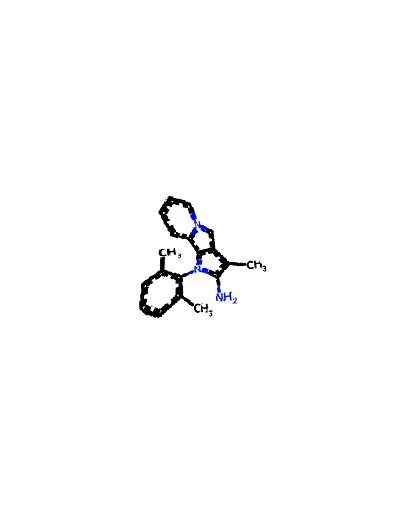 Cc1cccc(C)c1-n1c(N)c(C)c2cn3ccccc3c21